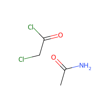 CC(N)=O.O=C(Cl)CCl